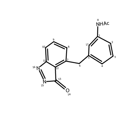 CC(=O)Nc1cccc(Cc2cccc3c2C(=O)N=N3)c1